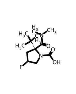 CN(C)C(=O)[C@]1(C(C)(C)C)CC(F)CN1C(=O)O